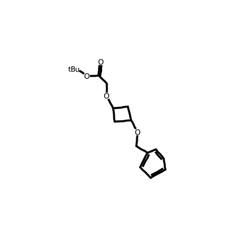 CC(C)(C)OC(=O)COC1CC(OCc2ccccc2)C1